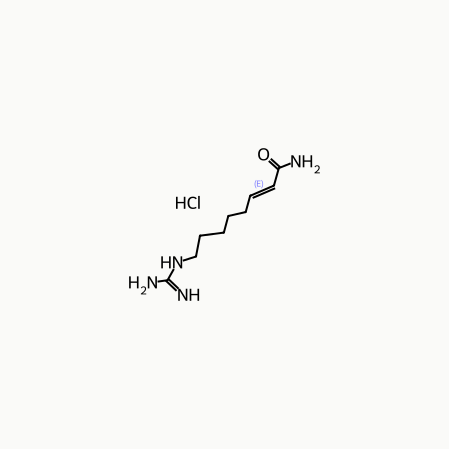 Cl.N=C(N)NCCCCC/C=C/C(N)=O